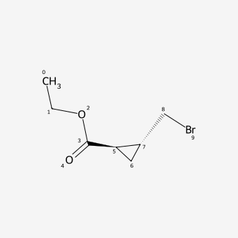 CCOC(=O)[C@@H]1C[C@H]1CBr